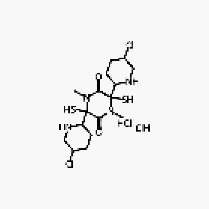 CN1C(=O)C(S)(C2CCC(Cl)CN2)N(C)C(=O)C1(S)C1CCC(Cl)CN1.Cl.Cl